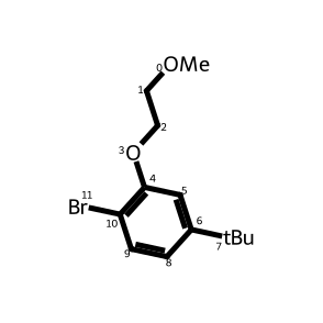 COCCOc1cc(C(C)(C)C)ccc1Br